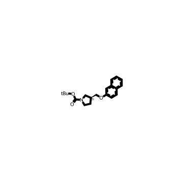 CC(C)(C)OC(=O)N1CC[C@H](COc2ccc3ccccc3c2)C1